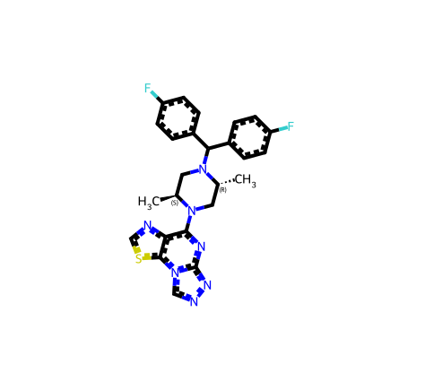 C[C@@H]1CN(c2nc3nncn3c3scnc23)[C@@H](C)CN1C(c1ccc(F)cc1)c1ccc(F)cc1